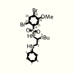 CCCCC(CNc1ccccc1)NS(=O)(=O)c1cc(OC)c(Br)cc1Br